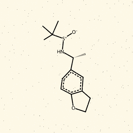 C[C@@H](N[S+]([O-])C(C)(C)C)c1ccc2c(c1)CCO2